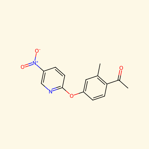 CC(=O)c1ccc(Oc2ccc([N+](=O)[O-])cn2)cc1C